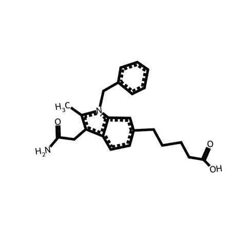 Cc1c(CC(N)=O)c2ccc(CCCCC(=O)O)cc2n1Cc1ccccc1